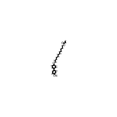 C=CC(=O)OCCCCCCCCCCCCOc1ccc(-c2ccc(C#N)cc2)cc1